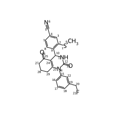 CSc1cc(C#N)ccc1C1NC(=O)N(c2cccc(CF)c2)C2=C1C(=O)CCC2